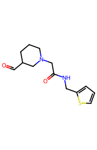 O=CC1CCCN(CC(=O)NCc2cccs2)C1